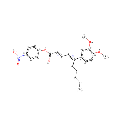 CCCCC/C(=C\C=C\C(=O)Oc1ccc([N+](=O)[O-])cc1)c1ccc(OC)c(OC)c1